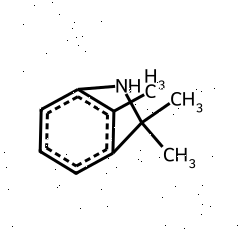 Cc1c2cccc1C(C)(C)N2